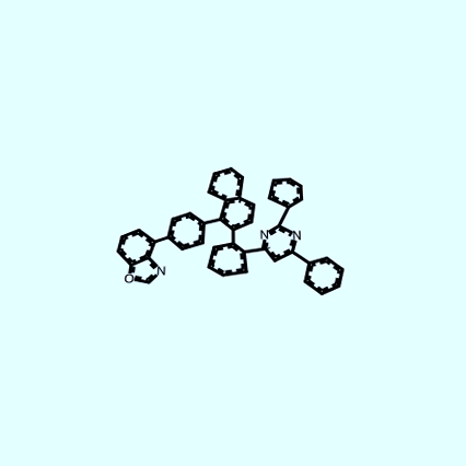 c1ccc(-c2cc(-c3ccccc3-c3ccc4ccccc4c3-c3ccc(-c4cccc5ocnc45)cc3)nc(-c3ccccc3)n2)cc1